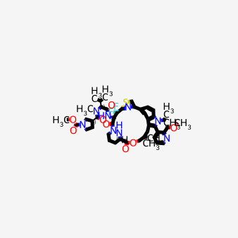 CCn1c(-c2cccnc2[C@H](C)OC)c2c3cc(ccc31)C1CSC(=N1)C(F)(F)[C@H](NC(=O)[C@H](C(C)C)N(C)C(=O)[C@H]1CCN(C(=O)OC)C1)C(=O)N1CCC[C@H](N1)C(=O)OCC(C)(C)C2